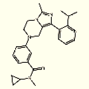 Cc1nc(-c2cccnc2C(C)C)c2n1CCN(c1cccc(C(=O)N(C)C3CC3)c1)C2